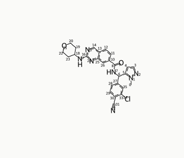 Cn1nccc1C(NC(=O)c1ccc2cnc(NC3CCOCC3)nc2c1)c1ccc(C#N)c(Cl)c1